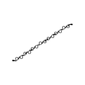 C#CCOCCOCCOCCOCCOCCOCCOCCOCCOCCOCCOCCOCCOCCOCC#C